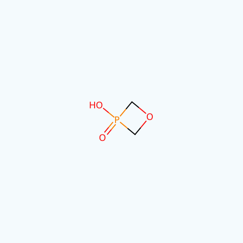 O=P1(O)COC1